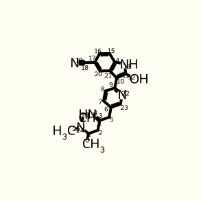 CC(CC(=N)Cc1ccc(-c2c(O)[nH]c3ccc(C#N)cc23)nc1)N(C)C